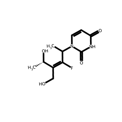 CC(/C(F)=C(/CO)[C@H](C)O)n1ccc(=O)[nH]c1=O